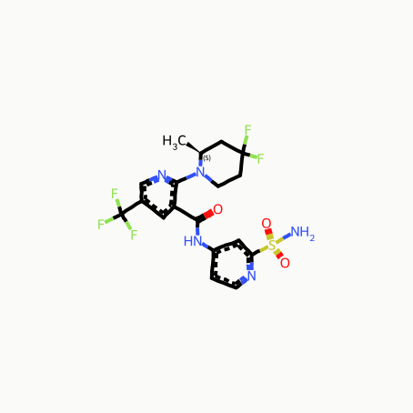 C[C@H]1CC(F)(F)CCN1c1ncc(C(F)(F)F)cc1C(=O)Nc1ccnc(S(N)(=O)=O)c1